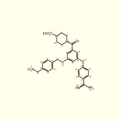 CCOC(=O)N1CCN(C(=O)c2cc(OCc3ccc(CN)cc3)cc(Oc3ccc(C(=N)N)cc3)c2)CC1